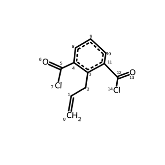 C=CCc1c(C(=O)Cl)cccc1C(=O)Cl